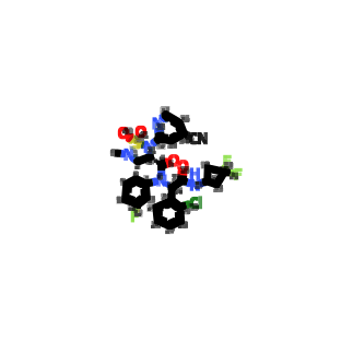 CN1C[C@@H](C(=O)N(c2cccc(F)c2)[C@@H](C(=O)NC2CC(F)(F)C2)c2ccccc2Cl)N(c2cc(C#N)ccn2)S1(=O)=O